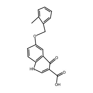 Cc1ccccc1COc1ccc2[nH]cc(C(=O)O)c(=O)c2c1